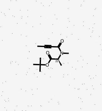 CC#CC(=O)N(C)[C@@H](C)C(=O)OC(C)(C)C